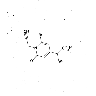 C#CCn1c(Br)cc(C(CCC)C(=O)O)cc1=O